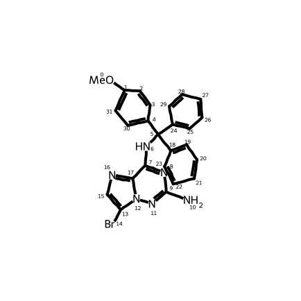 COc1ccc(C(Nc2nc(N)nn3c(Br)cnc23)(c2ccccc2)c2ccccc2)cc1